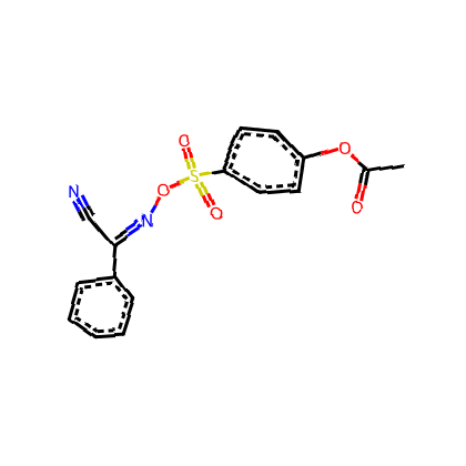 CC(=O)Oc1ccc(S(=O)(=O)O/N=C(\C#N)c2ccccc2)cc1